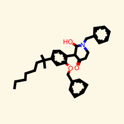 CCCCCCC(C)(C)c1ccc(C2C(=O)CCN(Cc3ccccc3)C2O)c(OCc2ccccc2)c1